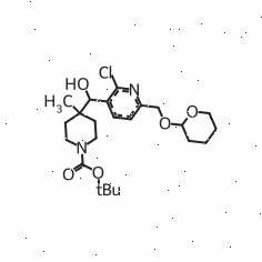 CC(C)(C)OC(=O)N1CCC(C)(C(O)c2ccc(COC3CCCCO3)nc2Cl)CC1